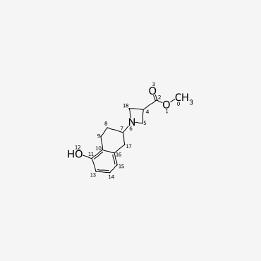 COC(=O)C1CN(C2CCc3c(O)cccc3C2)C1